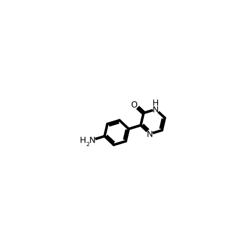 Nc1ccc(-c2ncc[nH]c2=O)cc1